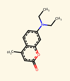 [CH2]c1cc(=O)oc2cc(N(CC)CC)ccc12